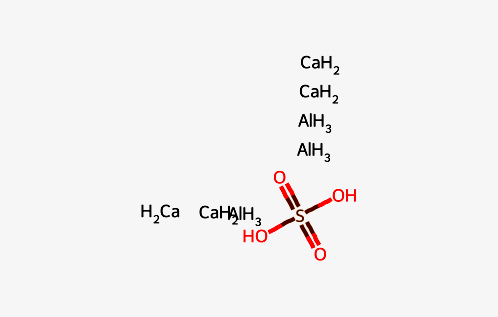 O=S(=O)(O)O.[AlH3].[AlH3].[AlH3].[CaH2].[CaH2].[CaH2].[CaH2]